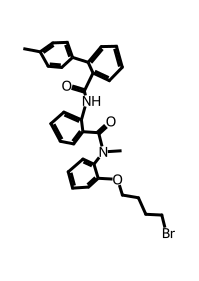 Cc1ccc(-c2ccccc2C(=O)Nc2ccccc2C(=O)N(C)c2ccccc2OCCCCBr)cc1